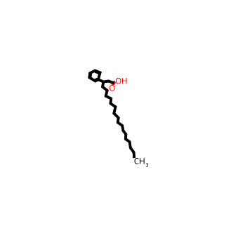 CCCCCCCCCCCCCCCCCCC(CC(=O)O)c1ccccc1